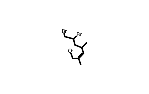 CC(=CC(C)CC(Br)CBr)C[O]